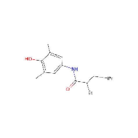 CCC(CC(C)C)C(=O)Nc1cc(C)c(O)c(C)c1